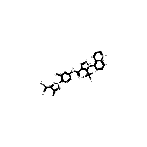 Cc1nn(-c2ncc(NC(=O)c3cnn(-c4cccc5ncccc45)c3C(F)(F)F)cc2Cl)nc1C(=O)O